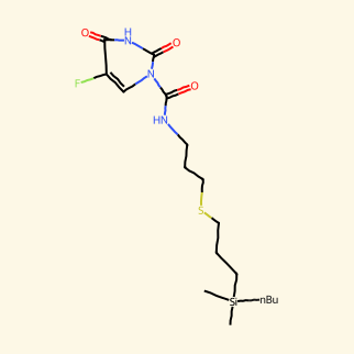 CCCC[Si](C)(C)CCCSCCCNC(=O)n1cc(F)c(=O)[nH]c1=O